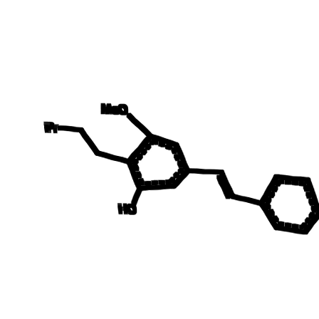 COc1cc(C=Cc2ccccc2)cc(O)c1CCC(C)C